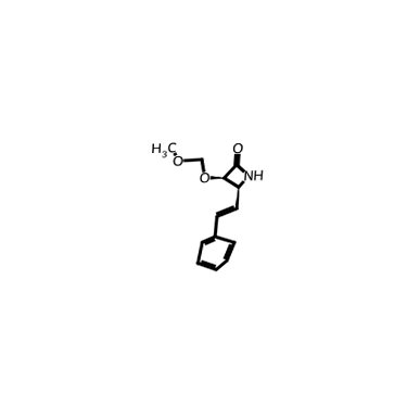 COCO[C@H]1C(=O)N[C@H]1/C=C/c1ccccc1